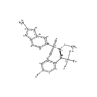 CCN([C@H](c1ccc(F)cc1)C(F)(F)F)S(=O)(=O)c1ccc2nc(N)sc2c1